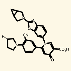 N#Cc1cc(-c2cc(=O)c(C(=O)O)cn2-c2ccc3nc(N4CC5CC5C4)oc3c2)ccc1N1CC[C@H](F)C1